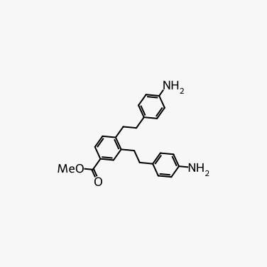 COC(=O)c1ccc(CCc2ccc(N)cc2)c(CCc2ccc(N)cc2)c1